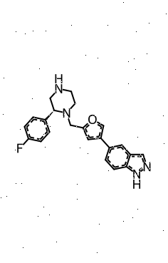 Fc1ccc([C@H]2CNCCN2Cc2cc(-c3ccc4[nH]ncc4c3)co2)cc1